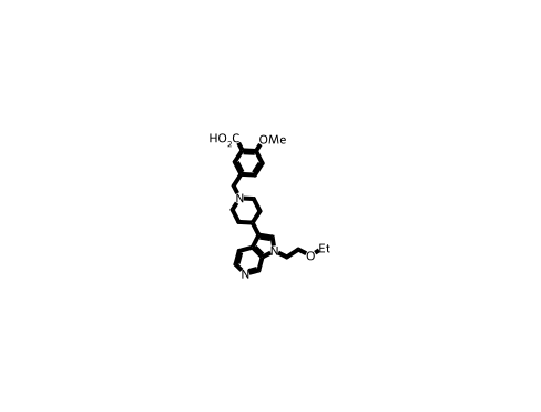 CCOCCn1cc(C2CCN(Cc3ccc(OC)c(C(=O)O)c3)CC2)c2ccncc21